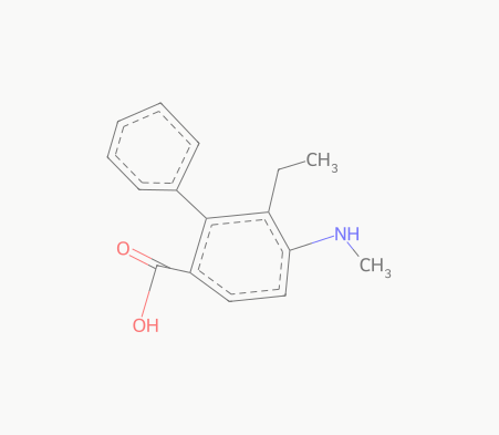 CCc1c(NC)ccc(C(=O)O)c1-c1ccccc1